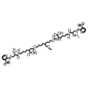 CCOCC(CCCCOC(=O)CC(CCCCNC(=O)C(N)CSSc1ncccc1[N+](=O)[O-])C(=O)O)CCCOC(=O)NC(CCCCNC(=O)C(N)CSSc1ncccc1[N+](=O)[O-])C(=O)O